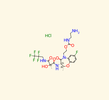 C[C@H]1Oc2ccc(F)cc2N(CCOC(=O)NCCN)C(=O)[C@H]1NC(=O)[C@@](C)(O)C(=O)NCC(F)(F)C(F)(F)F.Cl